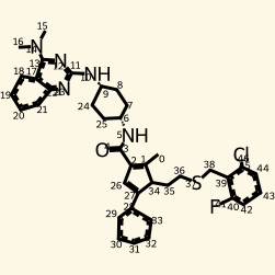 CC1=C(C(=O)N[C@H]2CC[C@@H](Nc3nc(N(C)C)c4ccccc4n3)CC2)C=C(c2ccccc2)C1CCSCc1c(F)cccc1Cl